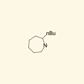 CCCCC1CCCCC[N]1